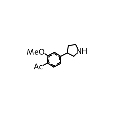 COc1cc(C2CCNC2)ccc1C(C)=O